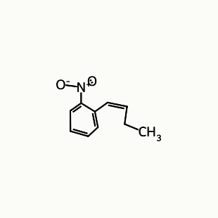 CC/C=C\c1ccccc1[N+](=O)[O-]